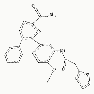 COc1ccc(-c2cc(C(N)=O)ccc2-c2ccccc2)cc1NC(=O)Cn1cccn1